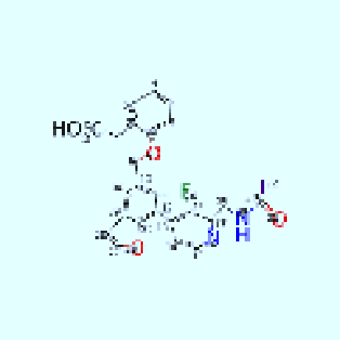 O=C(O)Cc1ccccc1OCc1cc(-c2ccnc(CNC(=O)I)c2F)c2occc2c1